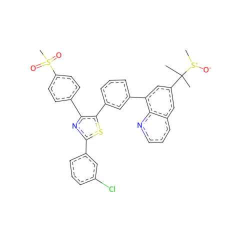 C[S+]([O-])C(C)(C)c1cc(-c2cccc(-c3sc(-c4cccc(Cl)c4)nc3-c3ccc(S(C)(=O)=O)cc3)c2)c2ncccc2c1